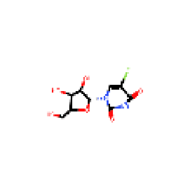 O=c1[nH]c(=O)n([C@@H]2OC(CO)C(O)C2O)cc1F